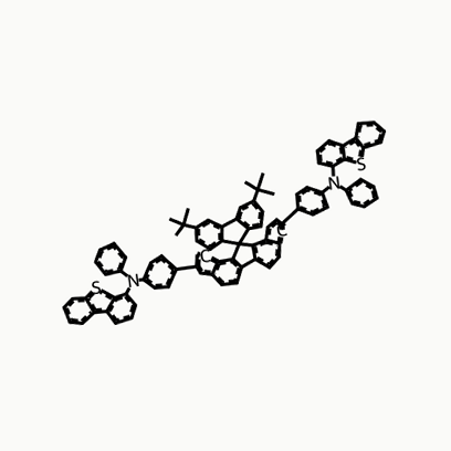 CC(C)(C)c1ccc2c(c1)-c1cc(C(C)(C)C)ccc1C21c2c(ccc3cc(-c4ccc(N(c5ccccc5)c5cccc6c5sc5ccccc56)cc4)ccc23)-c2ccc3cc(-c4ccc(N(c5ccccc5)c5cccc6c5sc5ccccc56)cc4)ccc3c21